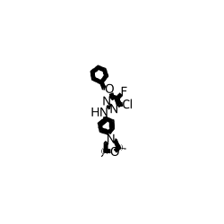 C[C@@H]1CN(c2ccc(Nc3nc(Cl)c(F)c(OCC4CCCCC4)n3)cc2)C[C@H](C)O1